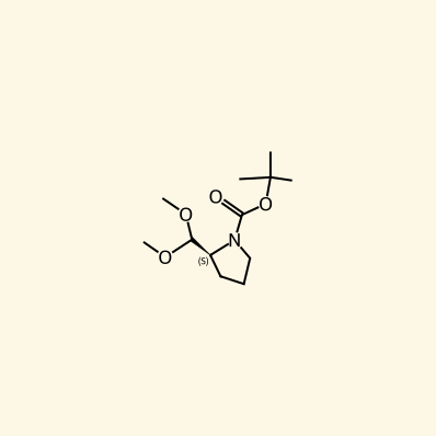 COC(OC)[C@@H]1CCCN1C(=O)OC(C)(C)C